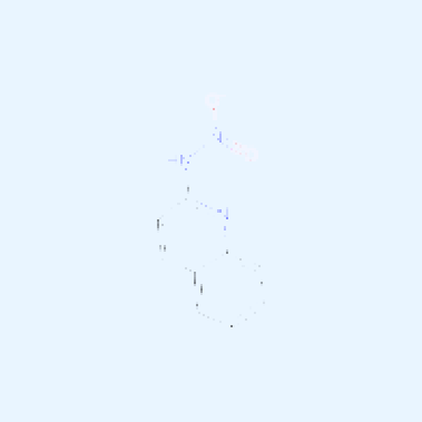 O=[N+]([O-])Nc1ccc2ccccc2n1